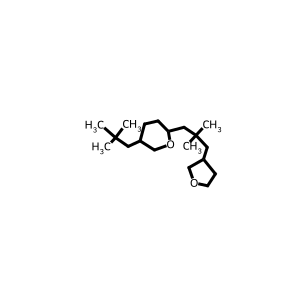 CC(C)(C)CC1CCC(CC(C)(C)CC2CCOC2)OC1